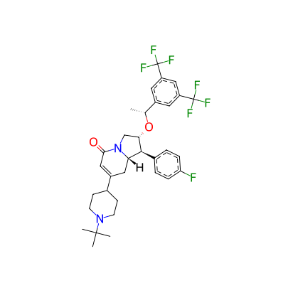 C[C@@H](O[C@H]1CN2C(=O)C=C(C3CCN(C(C)(C)C)CC3)C[C@H]2[C@@H]1c1ccc(F)cc1)c1cc(C(F)(F)F)cc(C(F)(F)F)c1